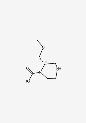 COC[C@@H]1CNCCN1C(=O)O